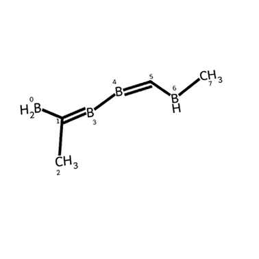 B/C(C)=B\B=C/BC